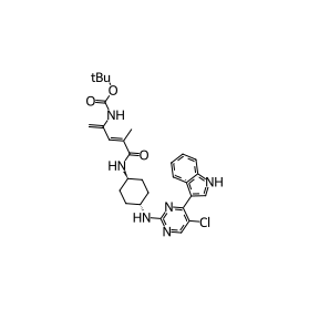 C=C(/C=C(\C)C(=O)N[C@H]1CC[C@H](Nc2ncc(Cl)c(-c3c[nH]c4ccccc34)n2)CC1)NC(=O)OC(C)(C)C